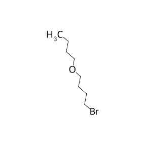 CCCCOCCCCBr